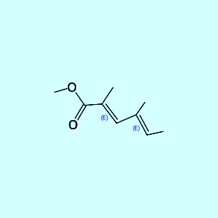 C/C=C(C)/C=C(\C)C(=O)OC